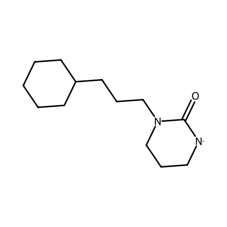 O=C1[N]CCCN1CCCC1CCCCC1